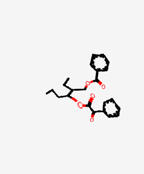 CCCC(OC(=O)C(=O)c1ccccc1)C(CC)COC(=O)c1ccccc1